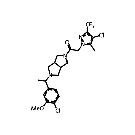 COc1cc(C(C)N2CC3CN(C(=O)Cn4nc(C(F)(F)F)c(Cl)c4C)CC3C2)ccc1Cl